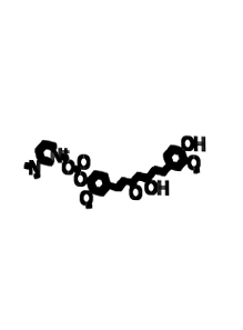 COc1cc(/C=C/C(O)=C/C(=O)/C=C/c2ccc(OC(=O)OC[n+]3cccc(N(C)C)c3)c(OC)c2)ccc1O